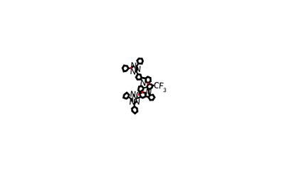 N#Cc1ccc(-n2c3ccccc3c3cc(-c4nc(-c5ccccc5)nc(-c5ccccc5)n4)ccc32)c(-c2ccc(C(F)(F)F)cc2-n2c3ccccc3c3cc(-c4nc(-c5ccccc5)nc(-c5ccccc5)n4)ccc32)c1